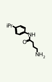 CC(C)c1ccc(NC(=O)CCCN)cc1